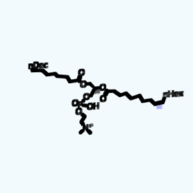 CCCCCC/C=C\CCCCCCCC(=O)O[C@H](COC(=O)CCCCCCCCCCCCCCCCC)COP(=O)(O)OCC[N+](C)(C)C